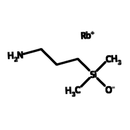 C[Si](C)([O-])CCCN.[Rb+]